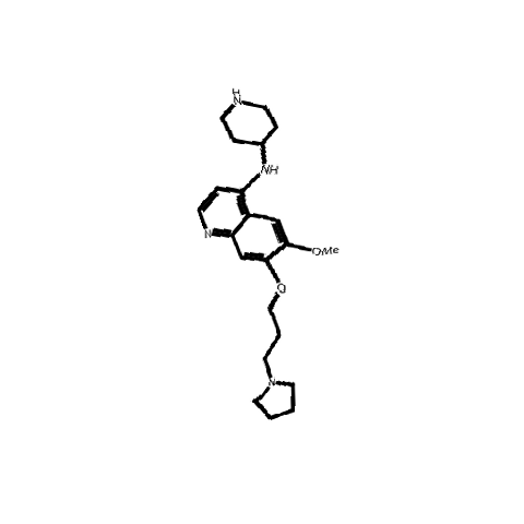 COc1cc2c(NC3CCNCC3)ccnc2cc1OCCCN1CCCC1